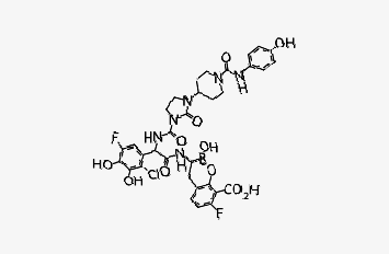 O=C(O)c1c(F)ccc2c1OB(O)C(NC(=O)C(NC(=O)N1CCN(C3CCN(C(=O)Nc4ccc(O)cc4)CC3)C1=O)c1cc(F)c(O)c(O)c1Cl)C2